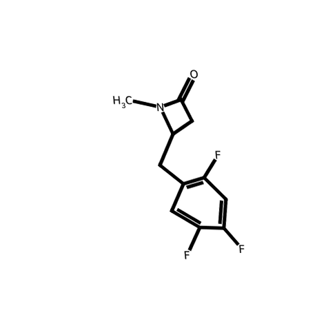 CN1C(=O)CC1Cc1cc(F)c(F)cc1F